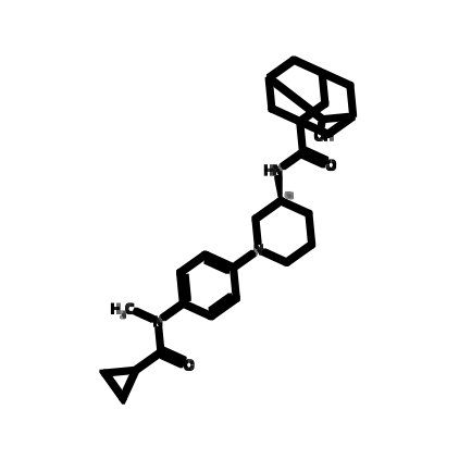 CN(C(=O)C1CC1)c1ccc(N2CCC[C@H](NC(=O)C34CC5CC(C3)C(O)C(C5)C4)C2)cc1